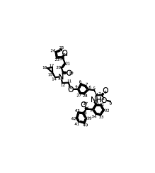 COC(=O)[C@H](Cc1ccc(OCCN(CC2CC2)C(=O)C=Cc2ccco2)cc1)Nc1ccccc1C(=O)c1ccccc1